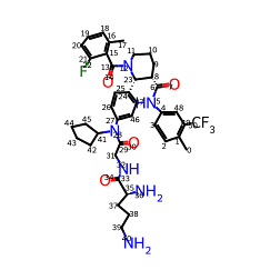 Cc1ccc(NC(=O)[C@H]2CCCN(C(=O)c3c(C)cccc3F)[C@H]2c2ccc(N(C(=O)CNC(=O)[C@@H](N)CCCN)C3CCCC3)cc2)cc1C(F)(F)F